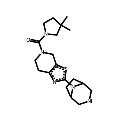 CC1(C)CCN(C(=O)N2CCc3nc(N4C5CCC4CNC5)sc3C2)C1